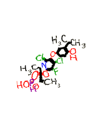 CCC(CC)(Oc1nc(Cl)c(Oc2ccc(O)c(C(C)C)c2)c(Cl)c1F)O[PH](=O)O